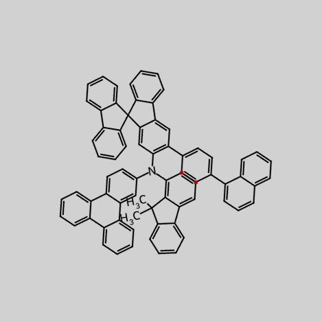 CC1(C)c2ccccc2-c2cccc(N(c3ccc4c5ccccc5c5ccccc5c4c3)c3cc4c(cc3-c3ccc(-c5cccc6ccccc56)cc3)-c3ccccc3C43c4ccccc4-c4ccccc43)c21